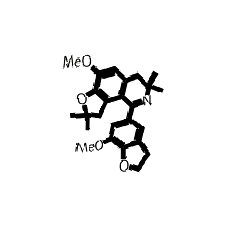 COc1cc(C2=NC(C)(C)Cc3cc(OC)c4c(c32)CC(C)(C)O4)cc2c1OCC2